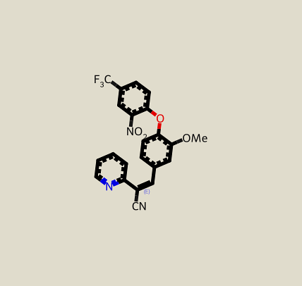 COc1cc(/C=C(/C#N)c2ccccn2)ccc1Oc1ccc(C(F)(F)F)cc1[N+](=O)[O-]